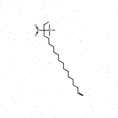 C=CCCCCCCCCCCCCCCC(CC)(P(=O)=O)[N+](C)(C)C